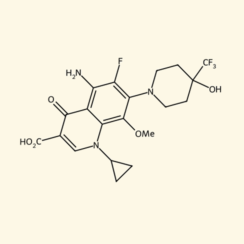 COc1c(N2CCC(O)(C(F)(F)F)CC2)c(F)c(N)c2c(=O)c(C(=O)O)cn(C3CC3)c12